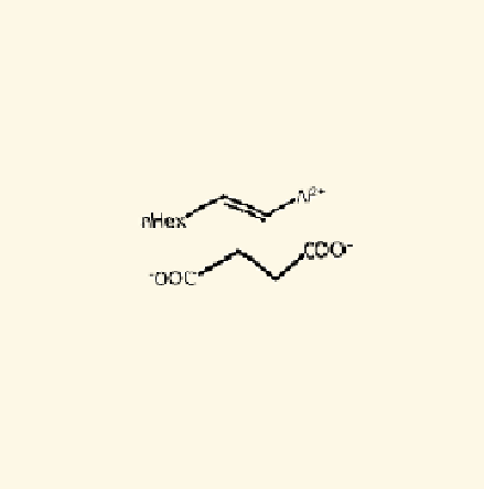 CCCCCCC=[CH][Al+2].O=C([O-])CCC(=O)[O-]